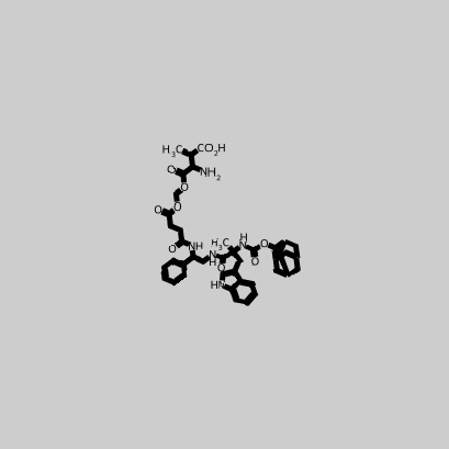 CC(C(=O)O)C(N)C(=O)OCOC(=O)CCC(=O)NC(CNC(=O)C(C)(Cc1c[nH]c2ccccc12)NC(=O)OC1C2CC3CC(C2)CC1C3)c1ccccc1